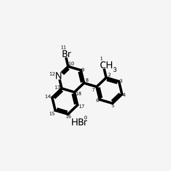 Br.Cc1ccccc1-c1cc(Br)nc2ccccc12